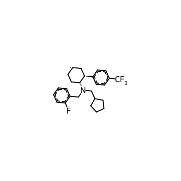 Fc1ccccc1CN(CC1CCCC1)[C@@H]1CC[CH]C[C@H]1c1ccc(C(F)(F)F)cc1